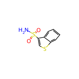 NS(=O)(=O)c1csc2ccccc12